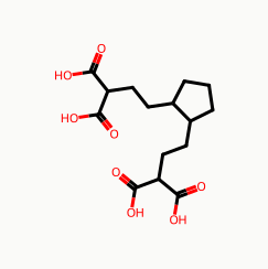 O=C(O)C(CCC1CCCC1CCC(C(=O)O)C(=O)O)C(=O)O